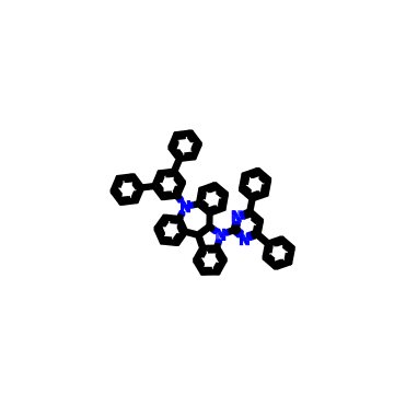 c1ccc(-c2cc(-c3ccccc3)cc(N3c4ccccc4C4c5ccccc5N(c5nc(-c6ccccc6)cc(-c6ccccc6)n5)C4c4ccccc43)c2)cc1